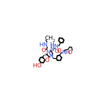 C=CCNCC(=O)N1[C@@H](NC(=O)NCc2ccccc2)CN(Cc2cccc(C(=O)NCC3CCCO3)c2)C(=O)[C@@H]1Cc1ccc(O)cc1